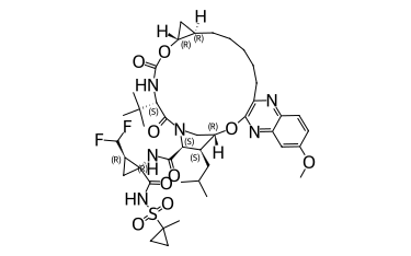 COc1ccc2nc3c(nc2c1)O[C@H]1CN(C(=O)[C@H](C(C)(C)C)NC(=O)O[C@@H]2C[C@H]2CCCCC3)[C@H](C(=O)N[C@]2(C(=O)NS(=O)(=O)C3(C)CC3)C[C@H]2C(F)F)[C@@H]1CC(C)C